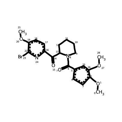 COc1ccc(C(=O)N2CCCCC2C(=O)c2ccc(OC)c(Br)n2)cc1OC